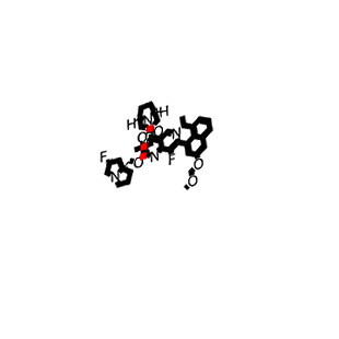 CCc1cccc2cc(OCOC)cc(-c3ncc4c(N5C[C@H]6CC[C@@H](C5)N6C(=O)OC(C)(C)C)nc(OC[C@]56CCCN5C[C@@H](F)C6)nc4c3F)c12